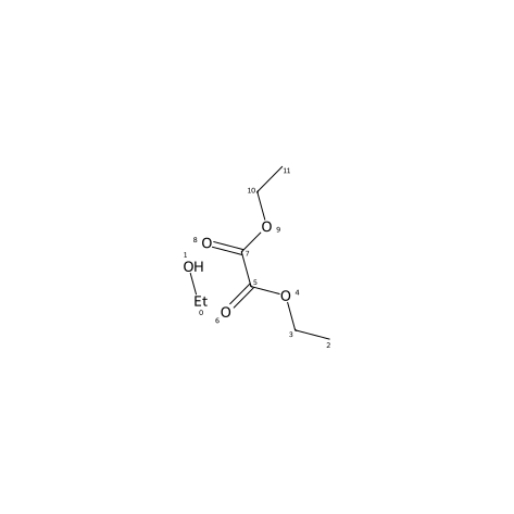 CCO.CCOC(=O)C(=O)OCC